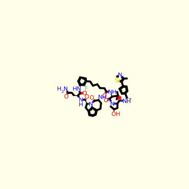 Cc1ncsc1-c1ccc([C@H](C)NC(=O)C2C[C@@H](O)CN2C(=O)[C@@H](NC(=O)CCCCCc2cccc(NC(=O)[C@H](CCC(N)=O)NC(=O)[C@@H]3Cc4cccc5c4N3C(=O)[C@@H](N)CC5)c2F)C(C)(C)C)cc1